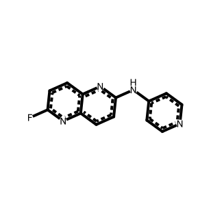 Fc1ccc2nc(Nc3ccncc3)ccc2n1